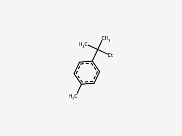 CCC(C)(C)c1ccc(C)cc1